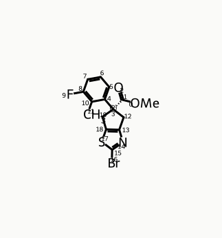 COC(=O)[C@]1(c2cccc(F)c2C)Cc2nc(Br)sc2C1